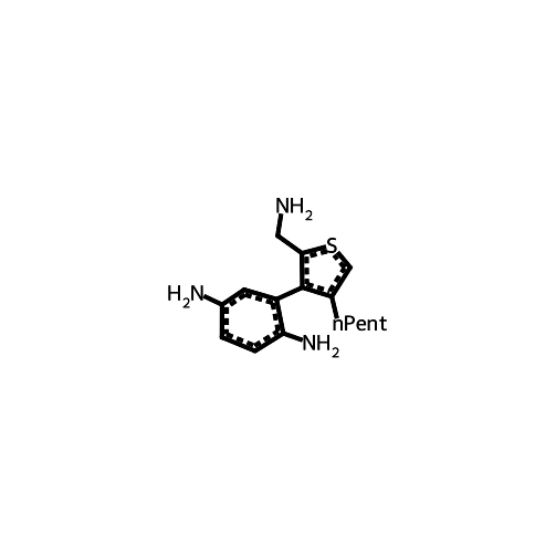 CCCCCc1csc(CN)c1-c1cc(N)ccc1N